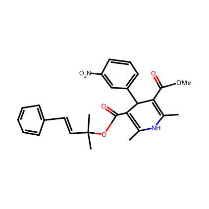 COC(=O)C1=C(C)NC(C)=C(C(=O)OC(C)(C)C=Cc2ccccc2)C1c1cccc([N+](=O)[O-])c1